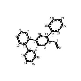 C=Cc1ccc(-c2ccccc2-c2ccccc2)cc1-c1ccccc1